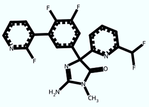 CN1C(=O)C(c2cc(F)c(F)c(-c3cccnc3F)c2)(c2cccc(C(F)F)n2)N=C1N